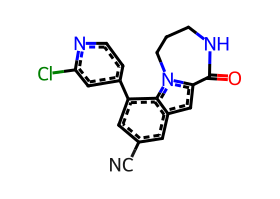 N#Cc1cc(-c2ccnc(Cl)c2)c2c(c1)cc1n2CCCNC1=O